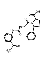 CC(O)c1cccc(NC(=O)NCC(=O)N2C(C(=O)O)CCC2c2ccccc2)c1